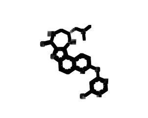 CN(C)C[C@H]1CNC(=O)c2oc3ccc4nc(Oc5cc(Cl)ncn5)ccc4c3c2N1